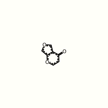 O=c1ccoc2cocc12